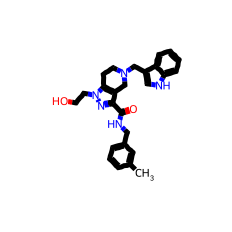 Cc1cccc(CNC(=O)c2nn(CCO)c3c2CN(Cc2c[nH]c4ccccc24)CC3)c1